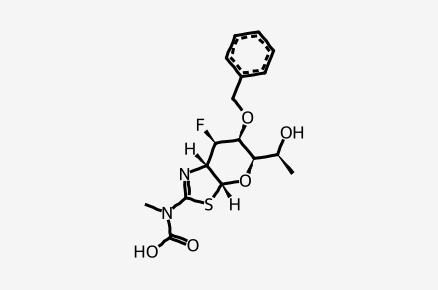 C[C@H](O)[C@H]1O[C@@H]2SC(N(C)C(=O)O)=N[C@@H]2[C@@H](F)[C@H]1OCc1ccccc1